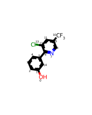 Oc1cccc(-c2ncc(C(F)(F)F)cc2Cl)c1